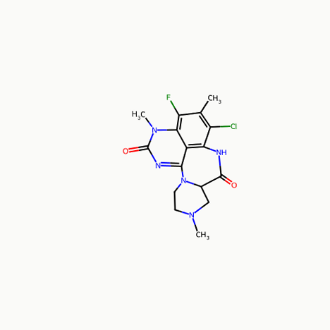 Cc1c(Cl)c2c3c(nc(=O)n(C)c3c1F)N1CCN(C)CC1C(=O)N2